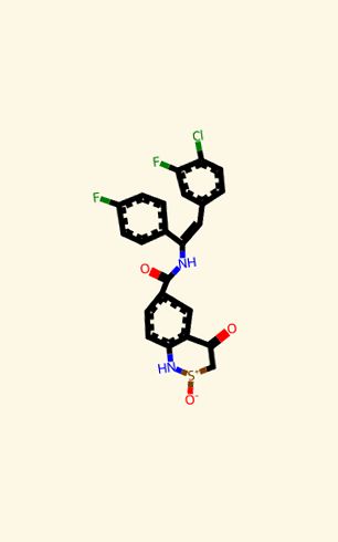 O=C(N/C(=C/c1ccc(Cl)c(F)c1)c1ccc(F)cc1)c1ccc2c(c1)C(=O)C[S+]([O-])N2